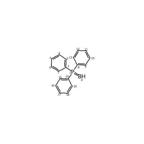 B=P(c1ccccc1)(c1ccccc1)c1ccccc1